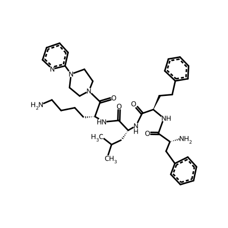 CC(C)C[C@@H](NC(=O)[C@@H](CCc1ccccc1)NC(=O)[C@H](N)Cc1ccccc1)C(=O)N[C@H](CCCCN)C(=O)N1CCN(c2ccccn2)CC1